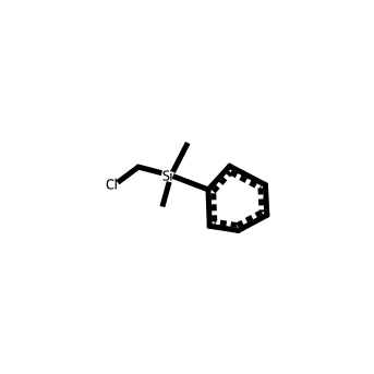 C[Si](C)(CCl)c1ccccc1